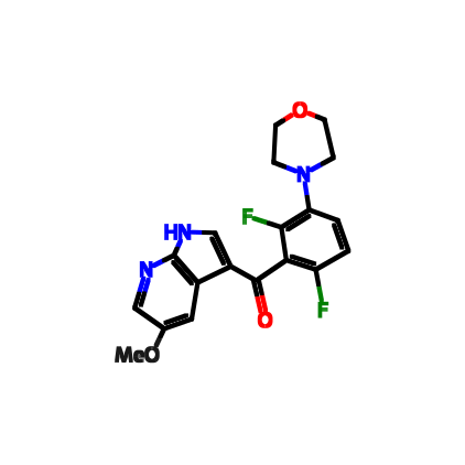 COc1cnc2[nH]cc(C(=O)c3c(F)ccc(N4CCOCC4)c3F)c2c1